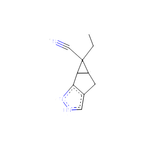 CCC1(C#N)C2Cc3c[nH]nc3C21